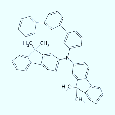 CC1(C)c2ccccc2-c2ccc(N(c3cccc(-c4cccc(-c5ccccc5)c4)c3)c3ccc4c(c3)C(C)(C)c3ccccc3-4)cc21